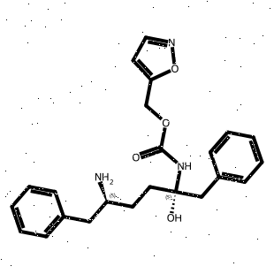 N[C@@H](CC[C@](O)(Cc1ccccc1)NC(=O)OCc1ccno1)Cc1ccccc1